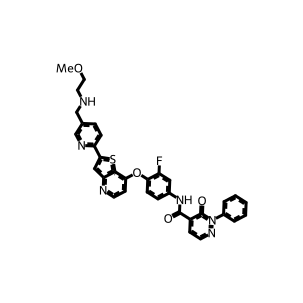 COCCNCc1ccc(-c2cc3nccc(Oc4ccc(NC(=O)c5ccnn(-c6ccccc6)c5=O)cc4F)c3s2)nc1